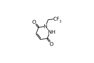 O=c1ccc(=O)n(CC(F)(F)F)[nH]1